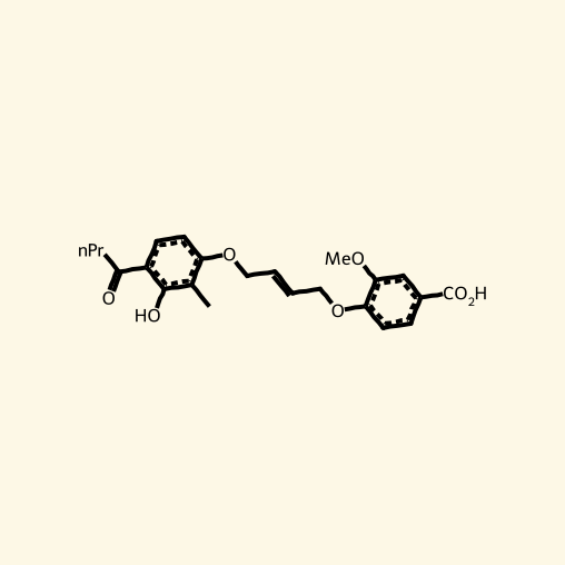 CCCC(=O)c1ccc(OCC=CCOc2ccc(C(=O)O)cc2OC)c(C)c1O